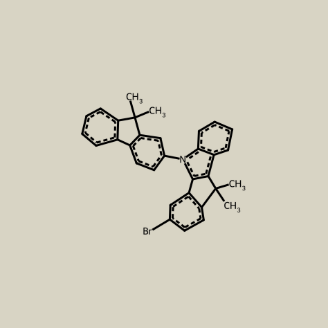 CC1(C)c2ccccc2-c2ccc(-n3c4c(c5ccccc53)C(C)(C)c3ccc(Br)cc3-4)cc21